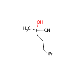 CC(C)CCCC(C)(O)C#N